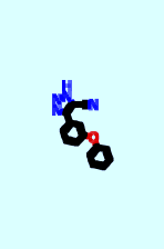 N#Cc1[nH]nnc1-c1cccc(Oc2ccccc2)c1